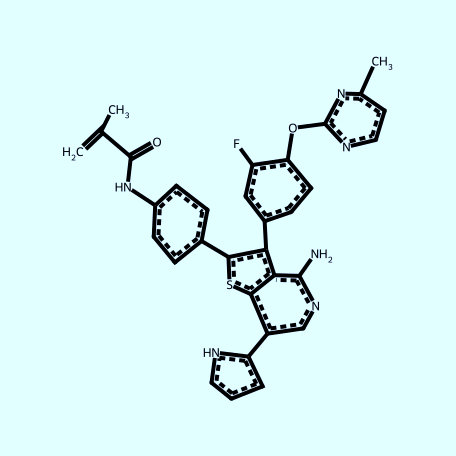 C=C(C)C(=O)Nc1ccc(-c2sc3c(-c4ccc[nH]4)cnc(N)c3c2-c2ccc(Oc3nccc(C)n3)c(F)c2)cc1